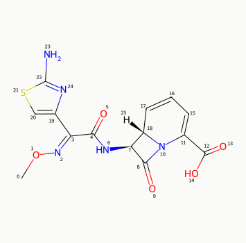 CON=C(C(=O)N[C@@H]1C(=O)N2C(C(=O)O)=CC=C[C@@H]12)c1csc(N)n1